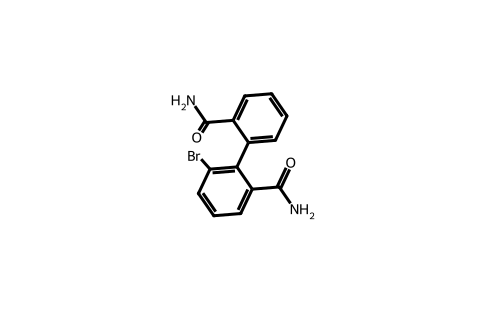 NC(=O)c1ccccc1-c1c(Br)cccc1C(N)=O